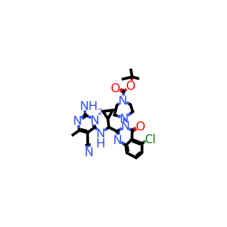 Cc1nc(N)nc(NC(c2nc3cccc(Cl)c3c(=O)n2N2CCN(C(=O)OC(C)(C)C)CC2)C2CC2)c1C#N